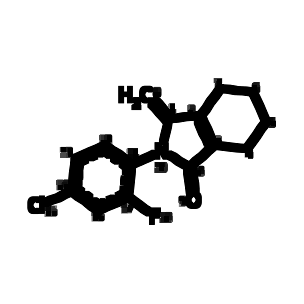 C=C1C2=C(CCCC2)C(=O)N1c1ccc(Cl)cc1F